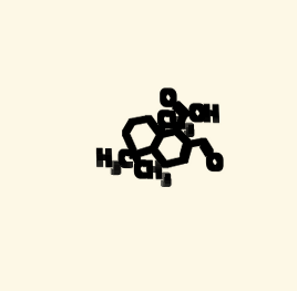 CC1(C)CCCC2(C)C(C(=O)O)C(C=O)=CCC12